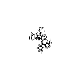 NC(=O)C(CC1CC1)C(CCC(F)(F)F)C(=O)NC1N=C(c2cccc(F)c2)c2cccc(F)c2NC1=O